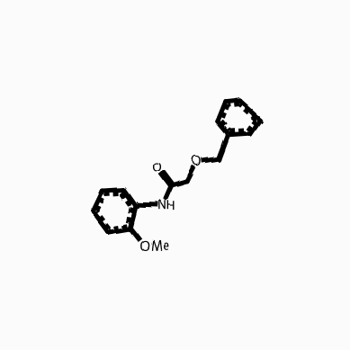 COc1ccccc1NC(=O)COCc1ccccc1